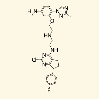 Cc1ncn(-c2ccc(N)cc2OCCNCCNc2nc(Cl)nc3c2CCC3c2ccc(F)cc2)n1